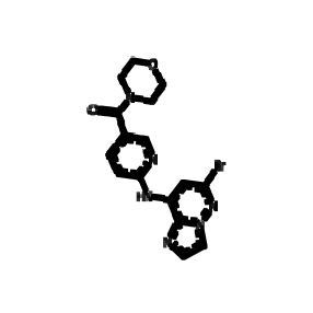 O=C(c1ccc(Nc2cc(Br)nn3ccnc23)nc1)N1CCOCC1